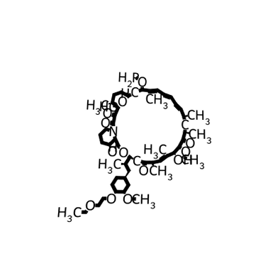 CCOCCO[C@@H]1CC[C@@H](C[C@@H](C)[C@@H]2CC(=O)[C@H](C)/C=C(\C)[C@@H](O)C(OC)C(=O)[C@H](C)C[C@H](C)/C=C/C=C/C=C(\C)C(OP)C[C@@H]3CC[C@@H](C)[C@@](O)(O3)C(=O)C(=O)N3CCCC[C@H]3C(=O)O2)C[C@H]1OC